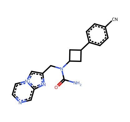 N#Cc1ccc(C2CC(N(Cc3cn4ccncc4n3)C(N)=O)C2)cc1